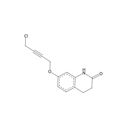 O=C1CCc2ccc(OCC#CCCl)cc2N1